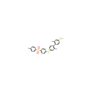 CSc1ccc(-c2ccc(Sc3ccc(S(=O)(=O)c4ccc(C)cc4)cc3)cc2C)c(C)c1